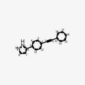 C(#Cc1ccc(-c2ccn[nH]2)cc1)c1ccccc1